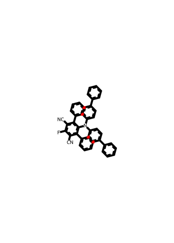 N#Cc1c(F)c(C#N)c(-c2ccccc2)c(N(c2ccc(-c3ccccc3)cc2)c2ccc(-c3ccccc3)cc2)c1-c1ccccc1